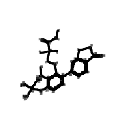 COC(=O)C(C)(C)COc1c(-c2ccc3c(c2)COC3=O)ccc(OC(O)(O)O)c1OC